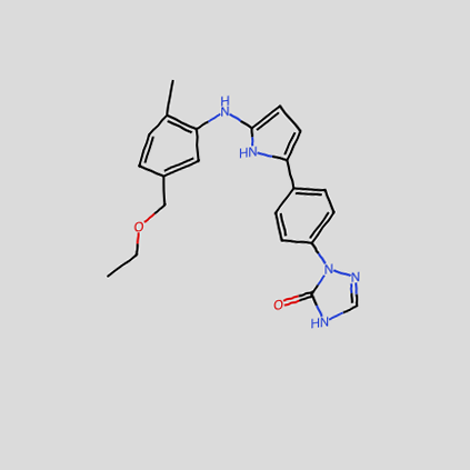 CCOCc1ccc(C)c(Nc2ccc(-c3ccc(-n4nc[nH]c4=O)cc3)[nH]2)c1